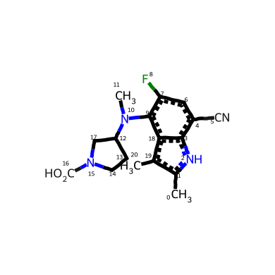 Cc1[nH]c2c(C#N)cc(F)c(N(C)C3CCN(C(=O)O)C3)c2c1C